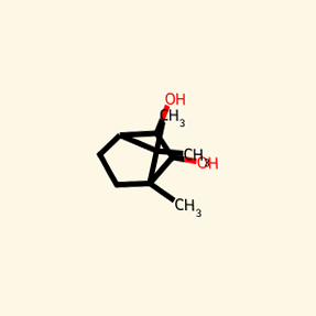 CC12CCC(C(O)[C]1O)C2(C)C